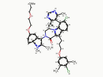 COCCOCCOc1ccc2c(c1)c(N1C[C@@H](C)n3c(c(CCCOc4cc(C)c(Cl)c(C)c4)c4ccc(Cl)c(-c5c(C)ncnc5C)c43)C1=O)c(C(=O)O)n2C